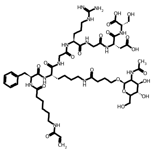 C=CC(=O)NCCCCCC(=O)N[C@@H](Cc1ccccc1)C(=O)N[C@@H](CCCCNC(=O)CCCO[C@@H]1OC(CO)[C@@H](O)[C@H](O)C1NC(C)=O)C(=O)NCC(=O)N[C@@H](CCCNC(=N)N)C(=O)NCC(=O)N[C@@H](CC(=O)O)C(=O)N[C@@H](CO)C(=O)O